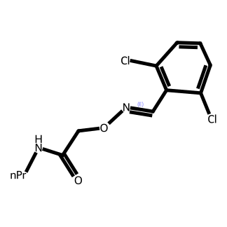 CCCNC(=O)CO/N=C/c1c(Cl)cccc1Cl